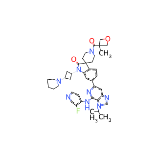 CC(C)n1cnc2cc(-c3ccc4c(c3)N([C@H]3C[C@@H](N5CCCCC5)C3)C(=O)C43CCN(C(=O)C4(C)COC4)CC3)nc(Nc3ccncc3F)c21